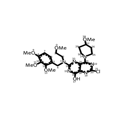 COCCN(Cc1ccc(OC)c(OC)c1OC)c1nc(O)c2nc(Cl)nc(N3CCC(OC)CC3)c2n1